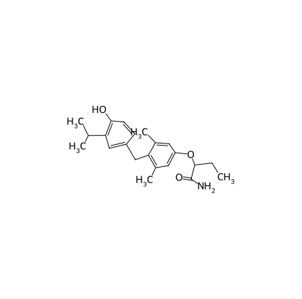 CCC(Oc1cc(C)c(Cc2ccc(O)c(C(C)C)c2)c(C)c1)C(N)=O